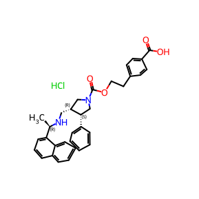 C[C@@H](NC[C@@H]1CN(C(=O)OCCc2ccc(C(=O)O)cc2)C[C@@H]1c1ccccc1)c1cccc2ccccc12.Cl